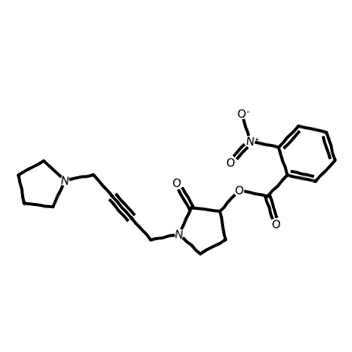 O=C(OC1CCN(CC#CCN2CCCC2)C1=O)c1ccccc1[N+](=O)[O-]